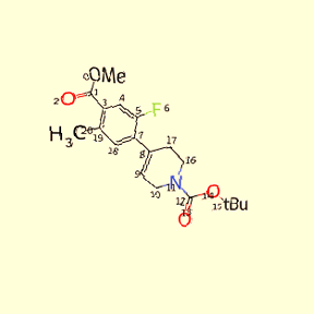 COC(=O)c1cc(F)c(C2=CCN(C(=O)OC(C)(C)C)CC2)cc1C